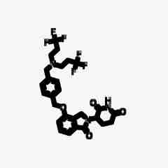 O=C1CCC(N2Cc3c(OCc4ccc(CN(CCC(F)(F)F)CCC(F)(F)F)cc4)cccc3C2=O)C(=O)N1